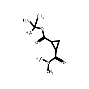 CN(C)C(=O)C1CC1C(=O)OC(C)(C)C